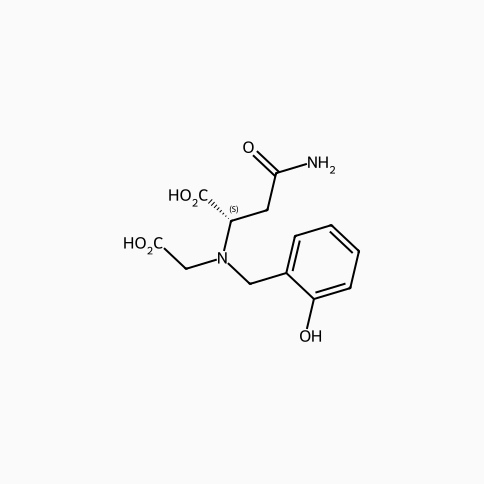 NC(=O)C[C@@H](C(=O)O)N(CC(=O)O)Cc1ccccc1O